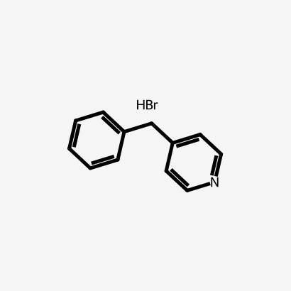 Br.c1ccc(Cc2ccncc2)cc1